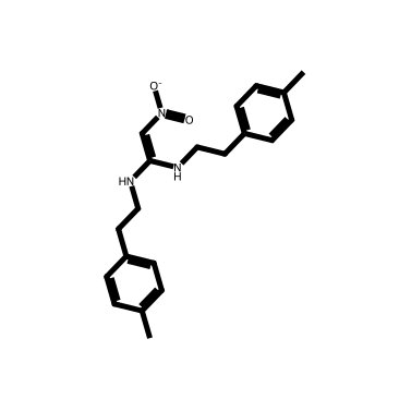 Cc1ccc(CCNC(=C[N+](=O)[O-])NCCc2ccc(C)cc2)cc1